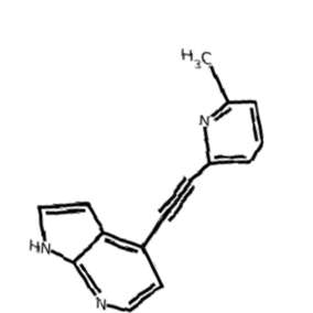 Cc1cccc(C#Cc2ccnc3[nH]ccc23)n1